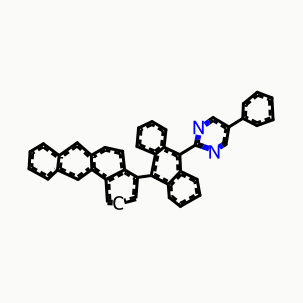 c1ccc(-c2cnc(-c3c4ccccc4c(-c4cccc5c4ccc4cc6ccccc6cc45)c4ccccc34)nc2)cc1